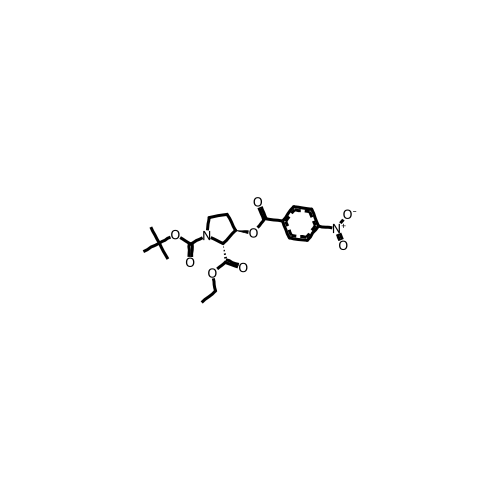 CCOC(=O)[C@H]1[C@H](OC(=O)c2ccc([N+](=O)[O-])cc2)CCN1C(=O)OC(C)(C)C